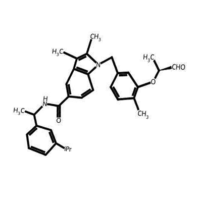 Cc1ccc(Cn2c(C)c(C)c3cc(C(=O)NC(C)c4cccc(C(C)C)c4)ccc32)cc1O[C@@H](C)C=O